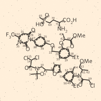 CC1(C)OC(c2ccco2)CN1C(=O)C(Cl)Cl.CCc1ccc(COc2ccc(-n3c(=O)cc(C(F)(F)F)n(C)c3=O)cc2)c(OC(C)C(=O)OC)c1.CCc1cccc(C)c1N(C(=O)CCl)C(C)COC.CP(=O)(O)CCC(N)C(=O)O